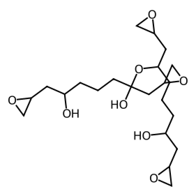 OC(CCCC(CC1CO1)OC(O)(CCCC(O)CC1CO1)CC1CO1)CC1CO1